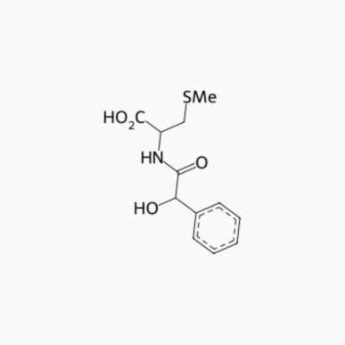 CSCC(NC(=O)C(O)c1ccccc1)C(=O)O